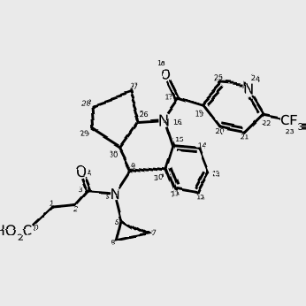 O=C(O)CCC(=O)N(C1CC1)C1c2ccccc2N(C(=O)c2ccc(C(F)(F)F)nc2)C2CCCC21